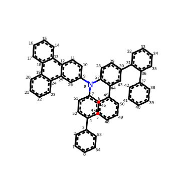 c1ccc(-c2ccc(N(c3ccc4c5ccccc5c5ccccc5c4c3)c3ccc(-c4ccccc4-c4ccccc4)cc3-c3ccccc3)cc2)cc1